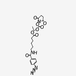 CC(OC(=O)CCCCCNC(=O)c1ccc(N=[N+]=[N-])cc1)OC(=O)ON1C(=O)CCC1=O